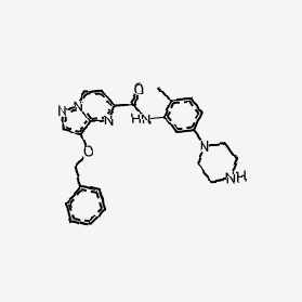 Cc1ccc(N2CCNCC2)cc1NC(=O)c1ccn2ncc(OCc3ccccc3)c2n1